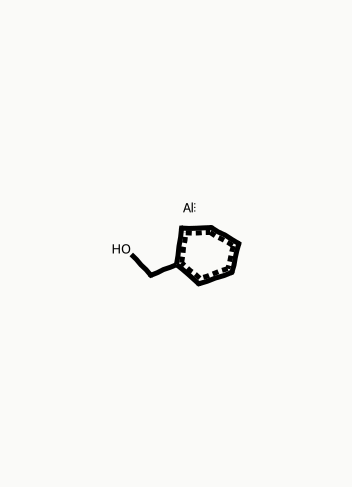 OCc1ccccc1.[Al]